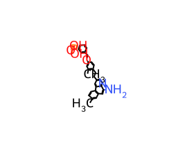 Cc1ccc2c(c1)cc(N)c1ncc(CCc3ccc(OCc4cccc(P(=O)(O)O)c4)cc3C)cc12